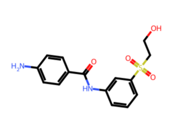 Nc1ccc(C(=O)Nc2cccc(S(=O)(=O)CCO)c2)cc1